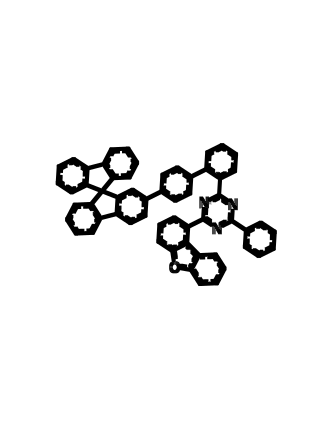 c1ccc(-c2nc(-c3ccccc3-c3ccc(-c4ccc5c(c4)C4(c6ccccc6-c6ccccc64)c4ccccc4-5)cc3)nc(-c3cccc4oc5ccccc5c34)n2)cc1